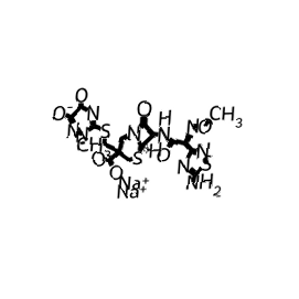 CON=C(C(=O)NC1C(=O)N2CC(CSc3nc(=O)c([O-])nn3C)(C(=O)[O-])CS[C@H]12)c1nsc(N)n1.[Na+].[Na+]